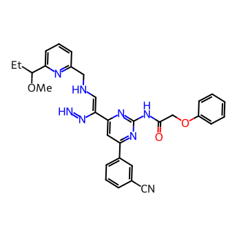 CCC(OC)c1cccc(CN/C=C(\N=N)c2cc(-c3cccc(C#N)c3)nc(NC(=O)COc3ccccc3)n2)n1